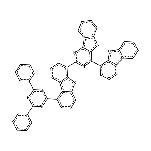 c1ccc(-c2nc(-c3ccccc3)nc(-c3cccc4sc5c(-c6nc(-c7cccc8c7oc7ccccc78)c7sc8ccccc8c7n6)cccc5c34)n2)cc1